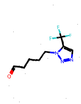 O=CCCCCn1nncc1C(F)(F)F